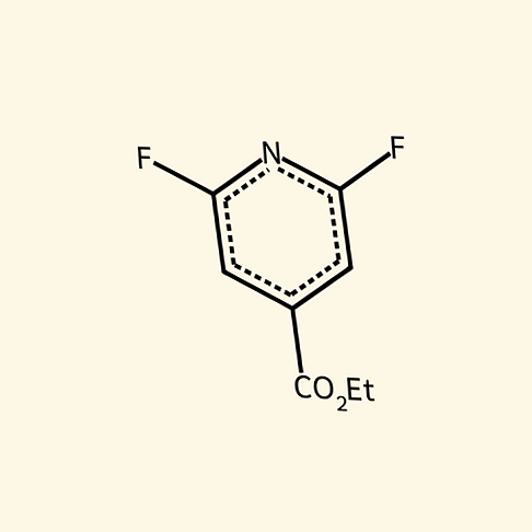 CCOC(=O)c1cc(F)nc(F)c1